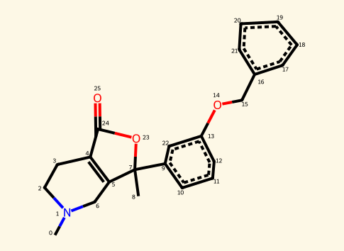 CN1CCC2=C(C1)C(C)(c1cccc(OCc3ccccc3)c1)OC2=O